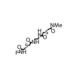 CNC(=O)CSCC(=O)NCCNC(=O)CSCC(=O)NF